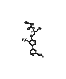 CC(C)C[C@@](C)(COc1ccc(-c2ccnc(N)c2)cc1C(F)(F)F)OC(=O)NC(C)(C)C